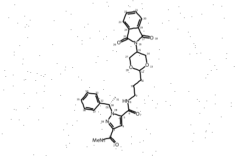 CNC(=O)c1cc(C(=O)NCCCC2OCC(N3C(=O)c4ccccc4C3=O)CO2)n([C@@H](C)c2ccccc2)n1